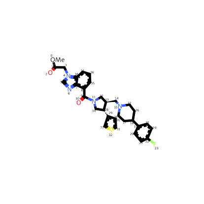 COC(=O)Cn1cnc2c(C(=O)N3C[C@@H](CN4CCC(c5ccc(F)cc5)CC4)[C@H](c4ccsc4)C3)cccc21